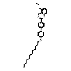 CCCCCCCCCCCCOc1ccc(-c2ccc(C(=O)Oc3cccc(CCC)c3F)cc2)cc1